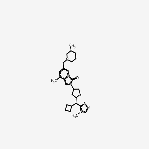 C[C@H]1CCCN(Cc2cc(C(F)(F)F)c3cn(C4CSC([C@@H](c5nncn5C)C5CCC5)C4)c(=O)n3c2)C1